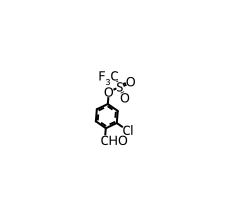 O=Cc1ccc(OS(=O)(=O)C(F)(F)F)cc1Cl